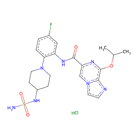 CC(C)Oc1nc(C(=O)Nc2cc(F)ccc2N2CCC(NS(N)(=O)=O)CC2)cn2ccnc12.Cl